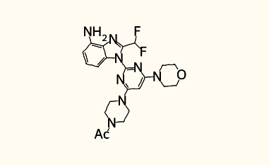 CC(=O)N1CCN(c2cc(N3CCOCC3)nc(-n3c(C(F)F)nc4c(N)cccc43)n2)CC1